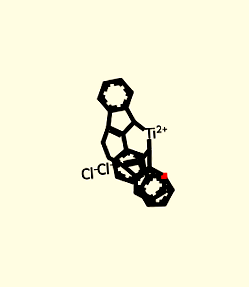 [Cl-].[Cl-].c1ccc(C2=C3CCC4=C(c5ccccc5)[CH]([Ti+2][CH]2c2ccccc23)c2ccccc24)cc1